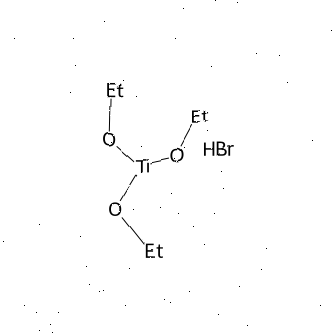 Br.CC[O][Ti]([O]CC)[O]CC